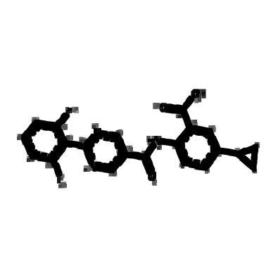 O=C(Nc1ccc(C2CC2)cc1C(=O)O)c1cnc(-c2c(F)cccc2F)nc1